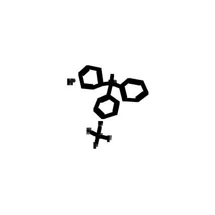 C[N+](c1ccccc1)(c1ccccc1)c1ccccc1.F[B-](F)(F)F.[H+]